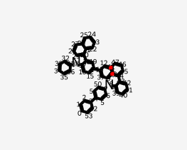 c1ccc(-c2ccc(N(c3cccc(-c4ccc5c(c4)c4c6ccccc6ccc4n5-c4ccccc4)c3)c3ccccc3-c3ccccc3)cc2)cc1